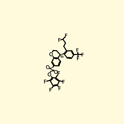 O=S(=O)(Oc1c(F)c(F)c(F)c(F)c1F)c1ccc2c(c1)OCC[C@H]2c1ccc(C(F)(F)F)cc1CCC(F)F